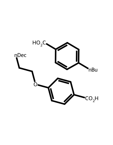 CCCCCCCCCCCCOc1ccc(C(=O)O)cc1.CCCCc1ccc(C(=O)O)cc1